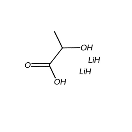 CC(O)C(=O)O.[LiH].[LiH]